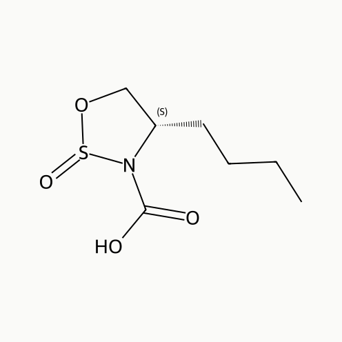 CCCC[C@H]1COS(=O)N1C(=O)O